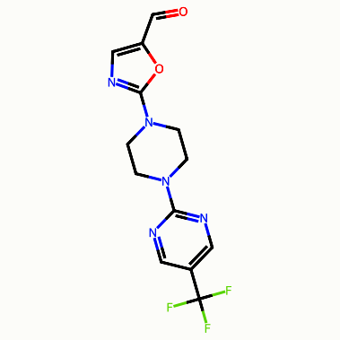 O=Cc1cnc(N2CCN(c3ncc(C(F)(F)F)cn3)CC2)o1